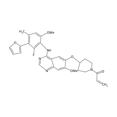 C=CC(=O)N1CCC(Oc2cc3c(Nc4c(OC)cc(C)c(-c5ccco5)c4F)ncnc3cc2OC)CC1